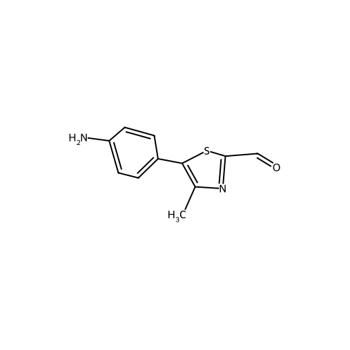 Cc1nc(C=O)sc1-c1ccc(N)cc1